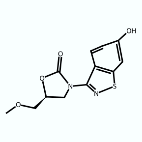 COC[C@@H]1CN(c2nsc3cc(O)ccc23)C(=O)O1